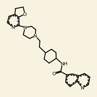 O=C(NC1CCC(CCN2CCN(c3nccc4c3OCC4)CC2)CC1)c1ccc2ncccc2c1